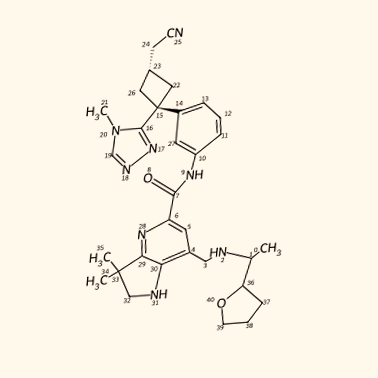 CC(NCc1cc(C(=O)Nc2cccc([C@]3(c4nncn4C)C[C@@H](CC#N)C3)c2)nc2c1NCC2(C)C)C1CCCO1